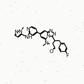 CN(C)c1cc(-c2ccnc(Nc3ccnn3C)c2)cc2nnc(C(CC=O)Cc3ccc(F)cc3)n12